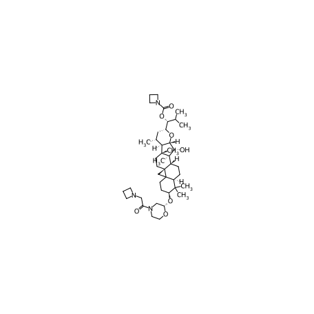 CC(C)[C@@H](OC(=O)N1CCC1)[C@H]1C[C@@H](C)[C@H]2[C@H](O1)[C@H](O)[C@@]1(C)[C@@H]3CC[C@H]4C(C)(C)[C@@H](O[C@H]5CN(C(=O)CN6CCC6)CCO5)CCC45C[C@@]35CC[C@]21C